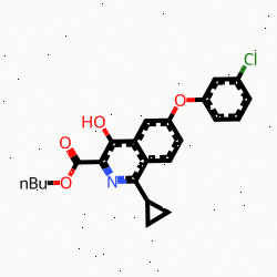 CCCCOC(=O)c1nc(C2CC2)c2ccc(Oc3cccc(Cl)c3)cc2c1O